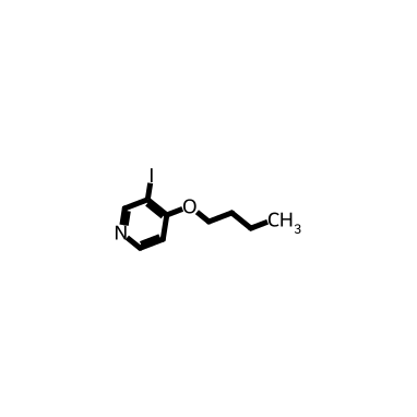 CCCCOc1ccncc1I